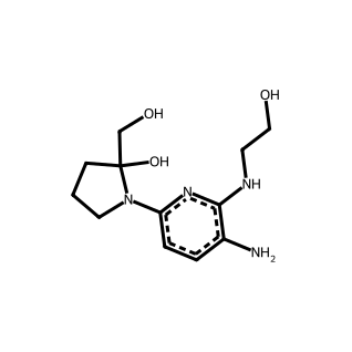 Nc1ccc(N2CCCC2(O)CO)nc1NCCO